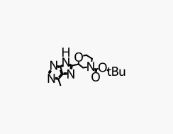 Cc1ncnc2[nH]c(C3CN(C(=O)OC(C)(C)C)CCO3)nc12